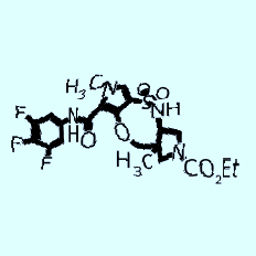 CCOC(=O)N1CC2NS(=O)(=O)c3cn(C)c(C(=O)Nc4cc(F)c(F)c(F)c4)c3OCC2(C)C1